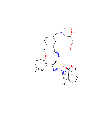 COCC1CN(Cc2ccc(COc3ccc(C)cc3-c3csc(N4C[C@H]5CC[C@@H](C4)[C@H]5C(=O)O)n3)c(C#N)c2)CCO1